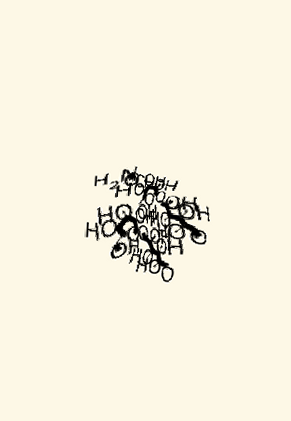 CON.O=C[C@H](O)[C@@H](O)[C@H](O)[C@H](O)CO[C@H]1O[C@H](CO)[C@@H](O)[C@H](O)[C@H]1O.O=C[C@H](O)[C@@H](O)[C@H](O)[C@H](O)CO[C@H]1O[C@H](CO)[C@@H](O)[C@H](O)[C@H]1O